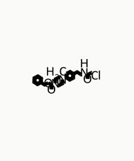 Cc1cc(CCNC(=O)CCl)ccc1N1CCN(C(=O)OCc2ccccc2)CC1